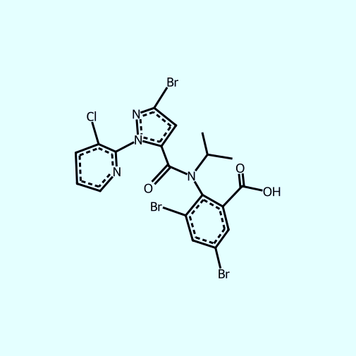 CC(C)N(C(=O)c1cc(Br)nn1-c1ncccc1Cl)c1c(Br)cc(Br)cc1C(=O)O